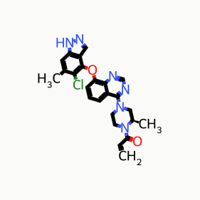 C=CC(=O)N1CCN(c2ncnc3c(Oc4c(Cl)c(C)cc5[nH]ncc45)cccc23)C[C@H]1C